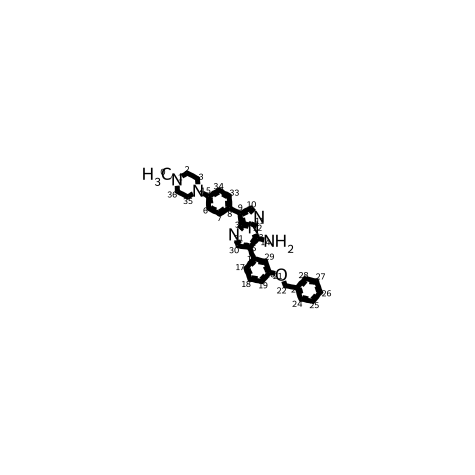 CN1CCN(c2ccc(-c3cnn4c(N)c(-c5cccc(OCc6ccccc6)c5)cnc34)cc2)CC1